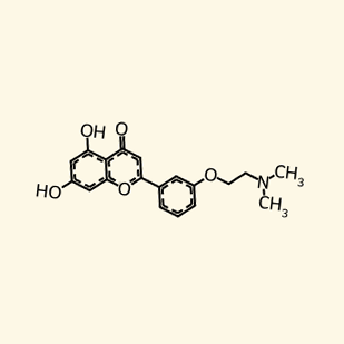 CN(C)CCOc1cccc(-c2cc(=O)c3c(O)cc(O)cc3o2)c1